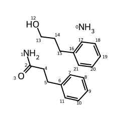 N.NC(=O)CCc1ccccc1.OCCCc1ccccc1